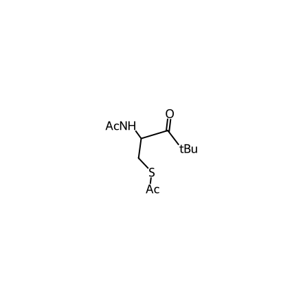 CC(=O)NC(CSC(C)=O)C(=O)C(C)(C)C